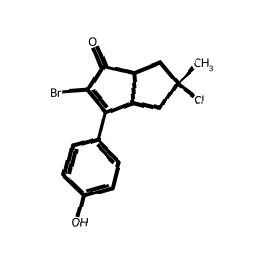 C[C@]1(Cl)CC2C(=O)C(Br)=C(c3ccc(O)cc3)C2C1